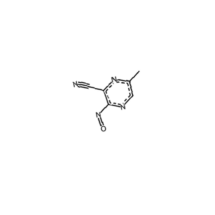 Cc1cnc(N=O)c(C#N)n1